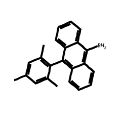 Bc1c2ccccc2c(-c2c(C)cc(C)cc2C)c2ccccc12